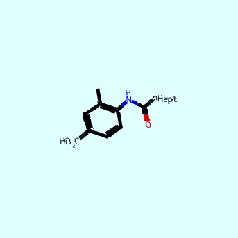 CCCCCCCC(=O)Nc1ccc(C(=O)O)cc1C